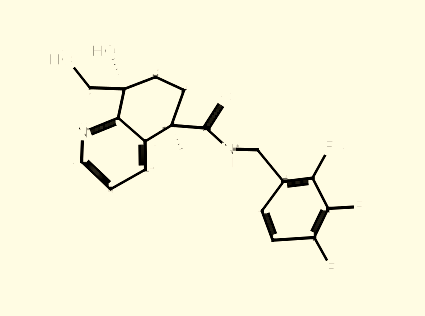 O=C(NCc1ccc(F)c(F)c1F)[C@]1(F)CC[C@](O)(CO)c2ncccc21